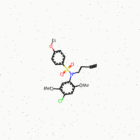 C#CCCN(c1cc(OC)c(Cl)cc1OC)S(=O)(=O)c1ccc(OCC)cc1